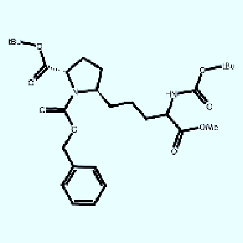 COC(=O)C(CCC[C@@H]1CC[C@@H](C(=O)OC(C)(C)C)N1C(=O)OCc1ccccc1)NC(=O)OC(C)(C)C